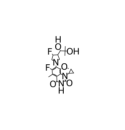 COc1c(N2CC(F)C(C(O)C(C)(C)O)C2)c(F)c(C)c2c(=O)[nH]c(=O)n(C3CC3)c12